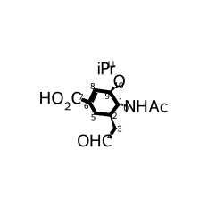 CC(=O)N[C@@H]1[C@@H](CC=O)CC(C(=O)O)=C[C@H]1OC(C)C